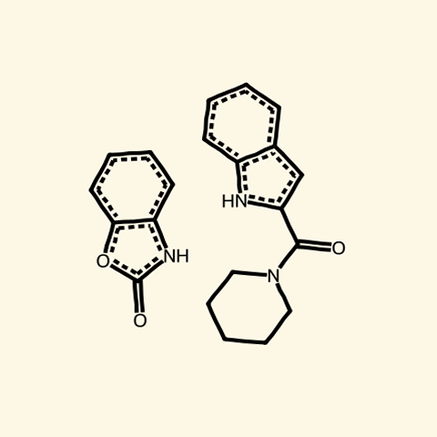 O=C(c1cc2ccccc2[nH]1)N1CCCCC1.O=c1[nH]c2ccccc2o1